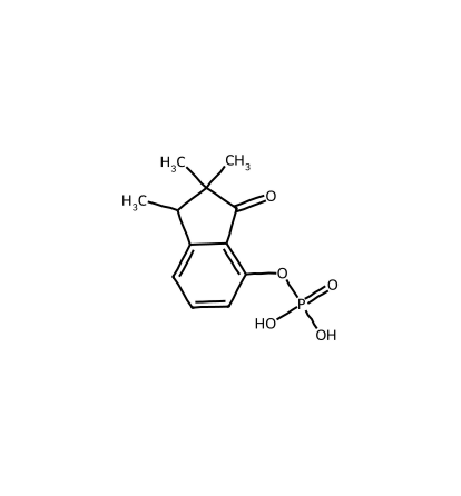 CC1c2cccc(OP(=O)(O)O)c2C(=O)C1(C)C